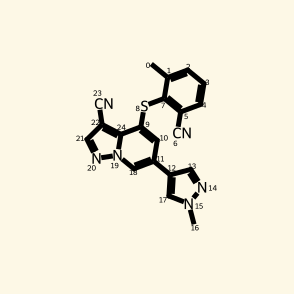 Cc1cccc(C#N)c1Sc1cc(-c2cnn(C)c2)cn2ncc(C#N)c12